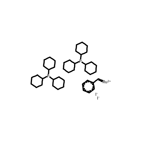 C1CCC(P(C2CCCCC2)C2CCCCC2)CC1.C1CCC(P(C2CCCCC2)C2CCCCC2)CC1.[I-].[I-].[Ru+2]=[CH]c1ccccc1